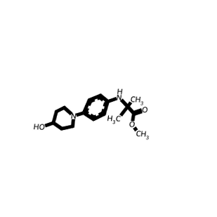 COC(=O)C(C)(C)Nc1ccc(N2CCC(O)CC2)cc1